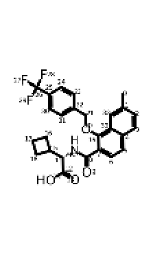 Cc1ccc2ccc(C(=O)N[C@H](C(=O)O)C3CCC3)c(OCc3ccc(C(F)(F)F)cc3)c2c1